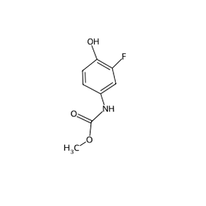 COC(=O)Nc1ccc(O)c(F)c1